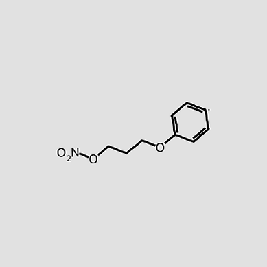 O=[N+]([O-])OCCCOc1cc[c]cc1